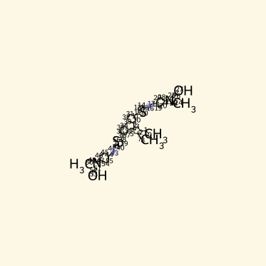 CCCCC1(CCCC)c2cc(-c3ccc(/C=C/c4ccc(N(CC)CCO)cc4)s3)ccc2-c2ccc(-c3ccc(/C=C/c4ccc(N(CC)CCO)cc4)s3)cc21